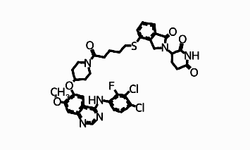 COc1cc2ncnc(Nc3ccc(Cl)c(Cl)c3F)c2cc1OC1CCN(C(=O)CCCCSc2cccc3c2CN(C2CCC(=O)NC2=O)C3=O)CC1